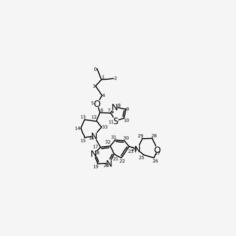 CC(C)CCOC(c1nccs1)C1CCCN(c2ncnc3cc(N4CCOCC4)ccc23)C1